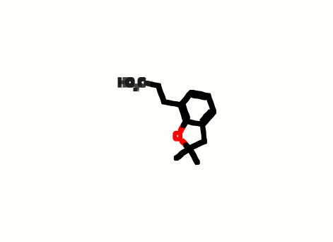 CC1(C)Cc2cccc(CCC(=O)O)c2O1